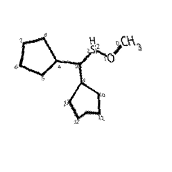 CO[SiH2]C(C1CCCC1)C1CCCC1